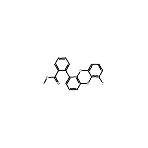 COC(=O)c1ccccc1-c1cccc2c1Oc1cccc(Cl)c1O2